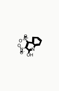 O=[N+]([O-])c1c(O)nc2ccccc2c1[N+](=O)[O-]